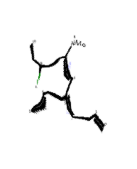 C=C/C=C(C=C)\C=C(\NC)C(C)F